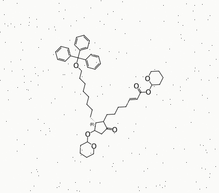 O=C(C=CCCCCC1C(=O)CC(OC2CCCCO2)[C@@H]1CCCCCCCCOC(c1ccccc1)(c1ccccc1)c1ccccc1)OC1CCCCO1